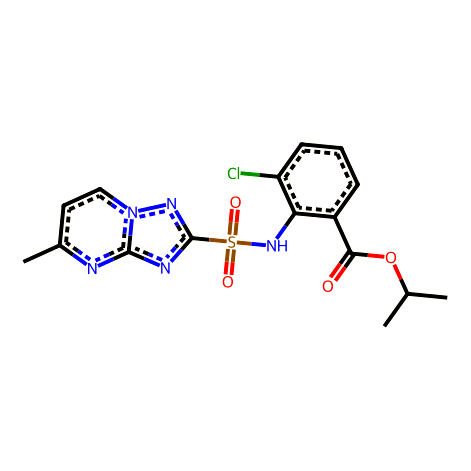 Cc1ccn2nc(S(=O)(=O)Nc3c(Cl)cccc3C(=O)OC(C)C)nc2n1